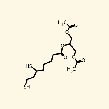 CC(=O)OCC(COC(C)=O)OC(=O)CCCCC(S)CCS